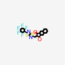 O=C1C(=Cc2nc3sc(-c4c(F)c(F)c(F)c(F)c4F)nc3s2)C(=O)c2cc3ccccc3cc21